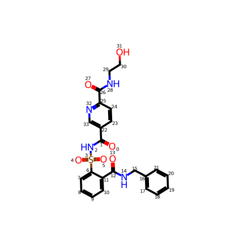 O=C(NS(=O)(=O)c1ccccc1C(=O)NCc1ccccc1)c1ccc(C(=O)NCCO)nc1